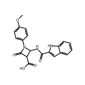 COc1ccc(N2C(=O)C(C(=O)O)C2NC(=O)c2cc3ccccc3[nH]2)cc1